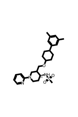 Cc1cc(C)cc(C2CCC(OCC3CN(c4ccccn4)CC[C@@H]3NS(C)(=O)=O)CC2)c1